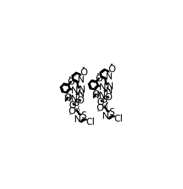 COc1cccc(-c2nnc(NS(=O)(=O)C[C@@H](OC)c3ncc(Cl)s3)n2-c2c(OC)cccc2OC)n1.COc1cccc(-c2nnc(NS(=O)(=O)C[C@H](OC)c3ncc(Cl)s3)n2-c2c(OC)cccc2OC)n1